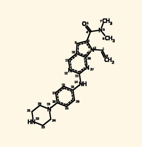 C=Cn1c(C(=O)N(C)C)cc2cnc(Nc3ccc(N4CCNCC4)cc3)nc21